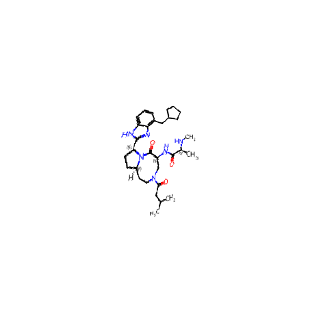 CN[C@@H](C)C(=O)N[C@H]1CN(C(=O)CC(C)C)CC[C@H]2CC[C@@H](c3nc4c(CC5CCCC5)cccc4[nH]3)N2C1=O